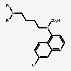 CCN(CC)CCCCN(C(=O)O)c1ccnc2cc(Cl)ccc12